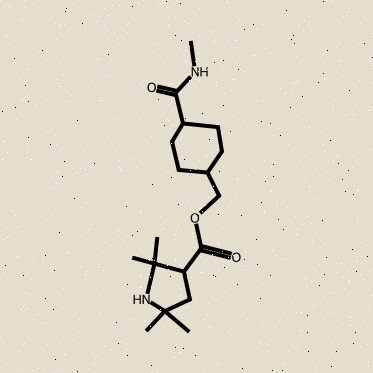 CNC(=O)C1CCC(COC(=O)C2CC(C)(C)NC2(C)C)CC1